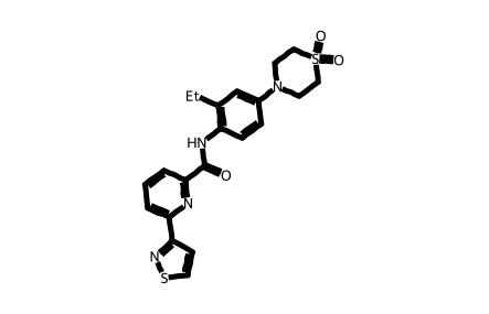 CCc1cc(N2CCS(=O)(=O)CC2)ccc1NC(=O)c1cccc(-c2ccsn2)n1